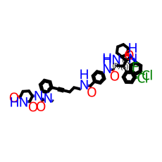 Cn1c(=O)n(C2CCC(=O)NC2=O)c2cccc(C#CCCCNC(=O)c3ccc(NC(=O)[C@@H]4NC5(CCCCC5)[C@@]5(C(=O)Nc6cc(Cl)ccc65)[C@H]4c4cccc(Cl)c4F)cc3)c21